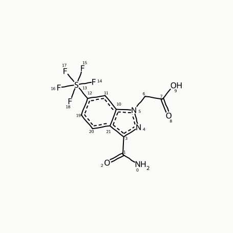 NC(=O)c1nn(CC(=O)O)c2cc(S(F)(F)(F)(F)F)ccc12